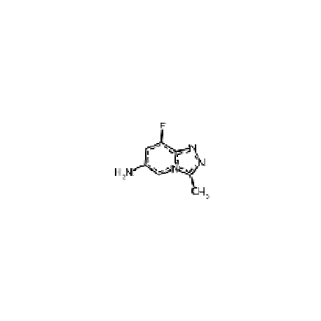 Cc1nnc2c(F)cc(N)cn12